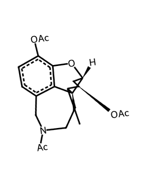 CC(=O)Oc1ccc2c3c1O[C@H]1C[C@@H](OC(C)=O)C(C)[C@@]31CCN(C(C)=O)C2